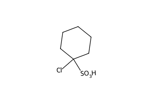 O=S(=O)(O)C1(Cl)CCCCC1